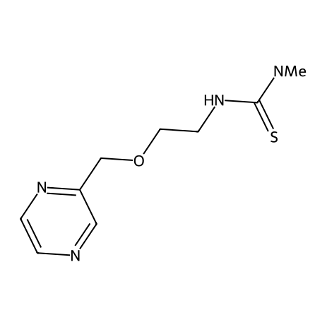 CNC(=S)NCCOCc1cnccn1